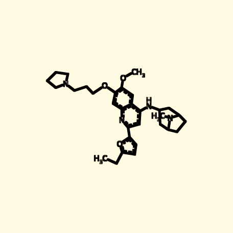 CCc1ccc(-c2cc(NC3CC4CCC(C3)N4C)c3cc(OC)c(OCCCN4CCCC4)cc3n2)o1